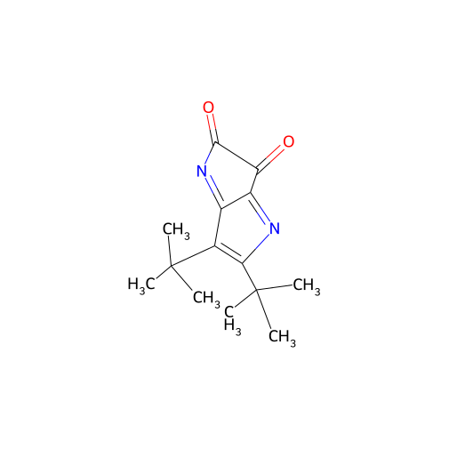 CC(C)(C)c1nc2c(=O)c(=O)nc-2c1C(C)(C)C